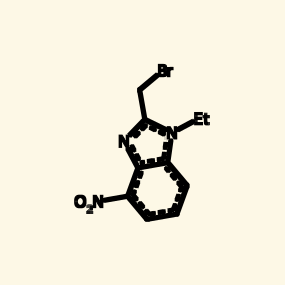 CCn1c(CBr)nc2c([N+](=O)[O-])cccc21